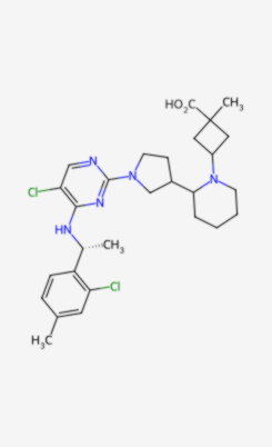 Cc1ccc([C@@H](C)Nc2nc(N3CCC(C4CCCCN4C4CC(C)(C(=O)O)C4)C3)ncc2Cl)c(Cl)c1